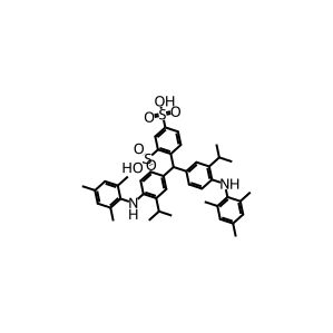 Cc1cc(C)c(Nc2ccc(C(c3ccc(Nc4c(C)cc(C)cc4C)c(C(C)C)c3)c3ccc(S(=O)(=O)O)cc3S(=O)(=O)O)cc2C(C)C)c(C)c1